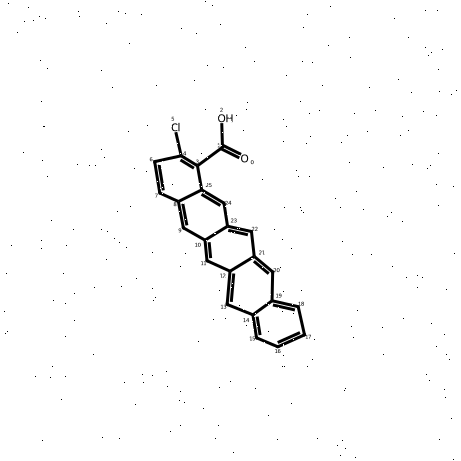 O=C(O)c1c(Cl)ccc2cc3cc4cc5ccccc5cc4cc3cc12